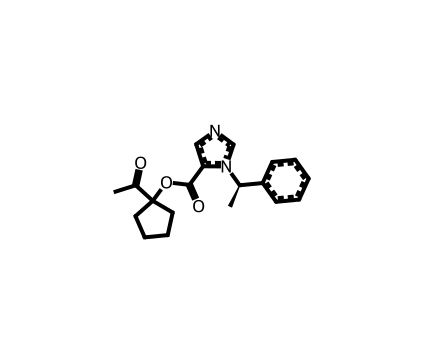 CC(=O)C1(OC(=O)c2cncn2[C@H](C)c2ccccc2)CCCC1